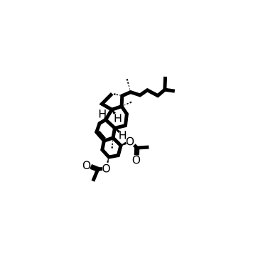 CC(=O)O[C@@H]1CC2=CC[C@H]3[C@@H]4CC[C@H]([C@H](C)CCCC(C)C)[C@@]4(C)CC[C@@H]3[C@@]2(C)[C@@H](OC(C)=O)C1